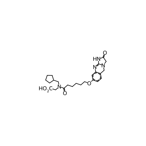 O=C(O)CN(CC1CCCC1)C(=O)CCCCCOc1ccc2c(c1)N=C1NC(=O)CN1C2